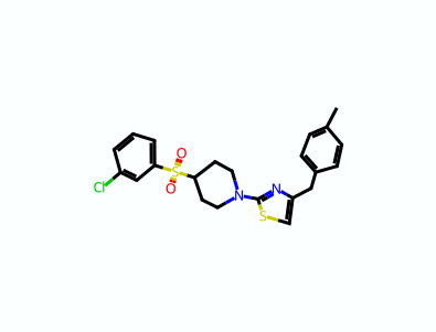 Cc1ccc(Cc2csc(N3CCC(S(=O)(=O)c4cccc(Cl)c4)CC3)n2)cc1